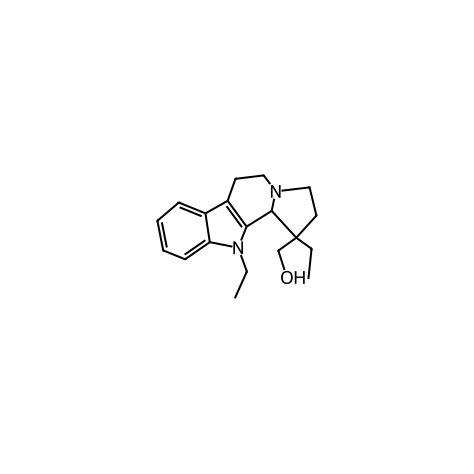 CCn1c2c(c3ccccc31)CCN1CCC(CC)(CO)C21